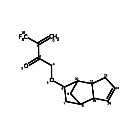 C=C(C(=O)COC1CC2CC1C1CC=CC21)C(F)(F)F